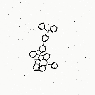 c1ccc(N(c2ccccc2)c2ccc(-c3ccc4c(c3)-c3ccccc3C43c4cccc(N(c5ccccc5)c5ccccc5)c4-c4c3sc3ccccc43)cc2)cc1